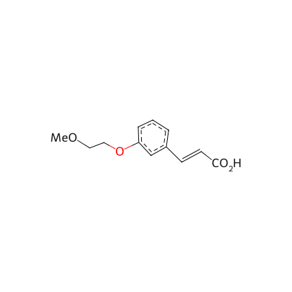 COCCOc1cccc(/C=C/C(=O)O)c1